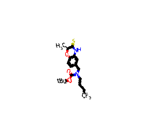 C[C@H]1Oc2ccc(CN(CCCC(F)(F)F)C(=O)OC(C)(C)C)cc2NC1=S